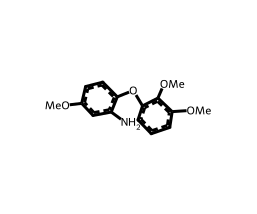 COc1ccc(Oc2cccc(OC)c2OC)c(N)c1